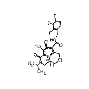 CC(C)N1C[C@@H]2COCc3c(C(=O)NCc4ccc(F)c(F)c4F)c(=O)c(O)c(n32)C1=O